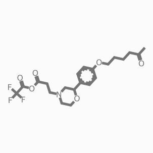 CC(=O)CCCCOc1ccc(C2CN(CCC(=O)OC(=O)C(F)(F)F)CCO2)cc1